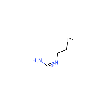 CC(C)CC/N=C\N